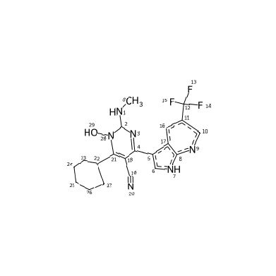 CNC1N=C(c2c[nH]c3ncc(C(F)(F)F)cc23)C(C#N)=C(C2CCCCC2)N1O